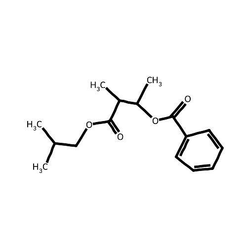 CC(C)COC(=O)C(C)C(C)OC(=O)c1ccccc1